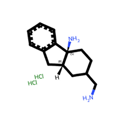 Cl.Cl.NCC1CC[C@@]2(N)c3ccccc3C[C@H]2C1